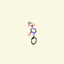 CC(C)(C)OC(=O)N1CCN(C2=CCCCC2)C(=O)C1